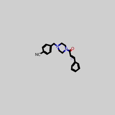 N#Cc1ccc(CN2CCN(C(=O)/C=C/c3ccccc3)CC2)cc1